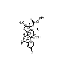 CCCOC(=O)O[C@]1(C(=O)O)[C@H](C)C[C@H]2[C@@H]3C[C@H](F)C4=CC(=O)C=C[C@]4(C)[C@H]3[C@@H](O)C[C@@]21C